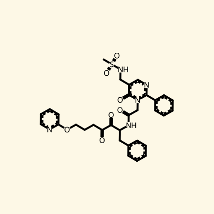 CS(=O)(=O)NCc1cnc(-c2ccccc2)n(CC(=O)NC(Cc2ccccc2)C(=O)C(=O)CCCOc2ccccn2)c1=O